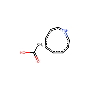 CC(=O)O.c1cccc[nH]ccc1